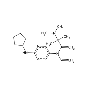 C=CN(C(=C)C(C)(C)N(C)C)c1ccc(NC2CCCC2)nc1